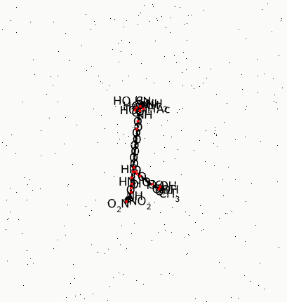 CC(=O)N[C@H]1[C@H]([C@H](OC(=O)NCCOCCOCCOCCOCCOCCOCCOCCOCCN[C@@H](CCCCNC(=O)CCOCCNc2ccc([N+](=O)[O-])cc2[N+](=O)[O-])C(=O)NCCOCCOCCOCCO[C@@H]2O[C@@H](C)[C@H](O)[C@@H](O)[C@H]2O)[C@H](O)CO)OC(C(=O)O)=C[C@@H]1NC(=N)N